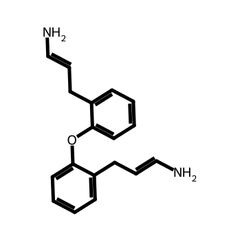 NC=CCc1ccccc1Oc1ccccc1CC=CN